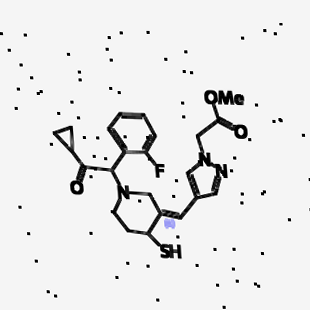 COC(=O)Cn1cc(/C=C2\CN(C(C(=O)C3CC3)c3ccccc3F)CCC2S)cn1